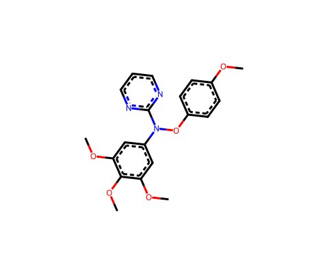 COc1ccc(ON(c2cc(OC)c(OC)c(OC)c2)c2ncccn2)cc1